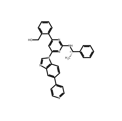 C[C@H](Nc1nc(-c2ccccc2CO)cc(-n2cnc3cc(-c4ccncc4)ccc32)n1)c1ccccc1